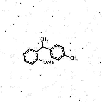 COc1ccccc1[C](C)c1ccc(C)cc1